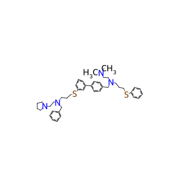 CN(C)CCN(CCCSc1ccccc1)Cc1ccc(-c2cccc(SCCCN(CCN3CCCC3)Cc3ccccc3)c2)cc1